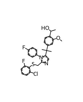 COc1cc(C(C)(C)c2cnc(CSc3c(F)cccc3Cl)n2-c2ccc(F)cc2)ccc1C(C)O